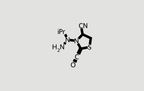 CC(C)N(N)N1C(=C=O)SCC1C#N